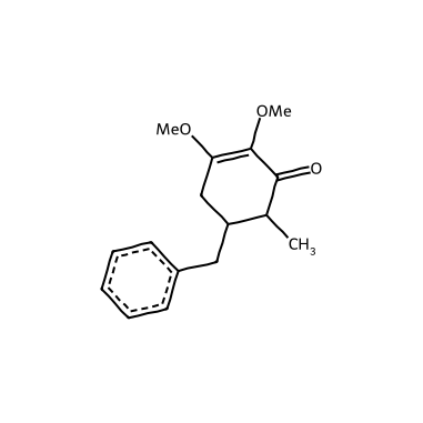 COC1=C(OC)C(=O)C(C)C(Cc2ccccc2)C1